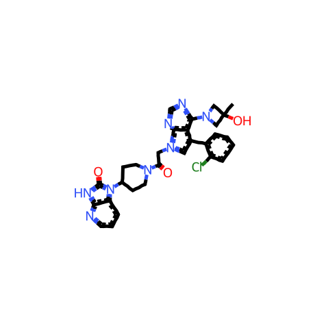 CC1(O)CN(c2ncnc3c2c(-c2ccccc2Cl)cn3CC(=O)N2CCC(n3c(=O)[nH]c4ncccc43)CC2)C1